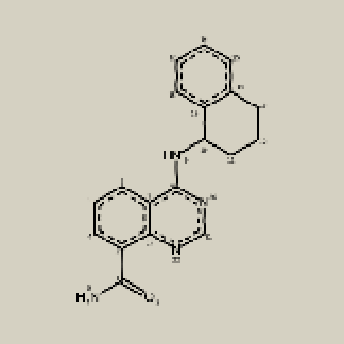 NC(=O)c1cccc2c(NC3CCCc4ccccc43)ncnc12